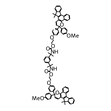 C=C(/C=C\C(=C/C)OCCOC(=O)NC(C)(C)c1cccc(C(C)(C)NC(=O)OCCOc2ccc(C3(c4ccc(OC)cc4)C=Cc4c5c(c6ccccc6c4O3)-c3ccccc3C5(C)C)cc2)c1)C1(c2ccc(OC)cc2)C=Cc2c3c(c4ccccc4c2O1)-c1ccccc1C3(C)C